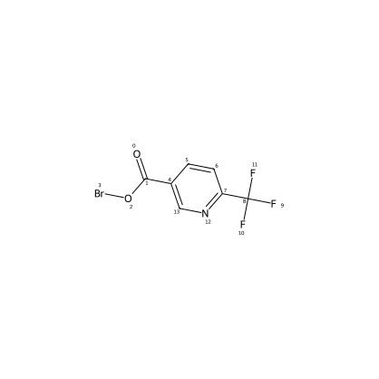 O=C(OBr)c1ccc(C(F)(F)F)nc1